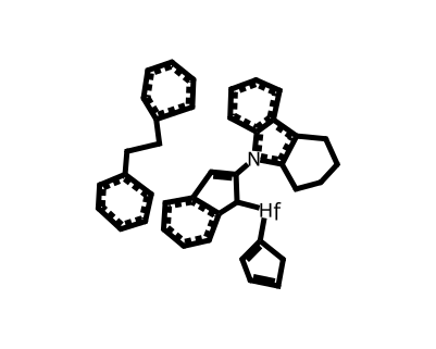 C1=CC[C]([Hf][CH]2C(n3c4c(c5ccccc53)CCCC4)=Cc3ccccc32)=C1.c1ccc(CCc2ccccc2)cc1